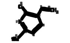 C=Cc1ccc(C(C)(C)C)nc1Cl